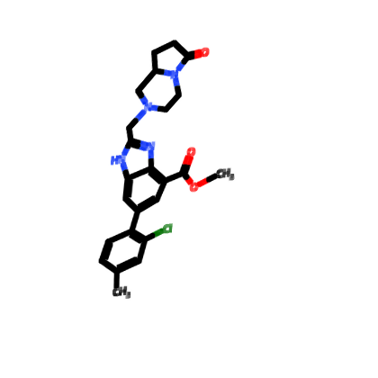 COC(=O)c1cc(-c2ccc(C)cc2Cl)cc2[nH]c(CN3CCN4C(=O)CCC4C3)nc12